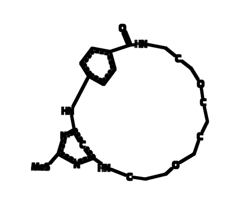 CSc1nc2cc(n1)Nc1ccc(cc1)C(=O)NCCCOCCCCOCCCN2